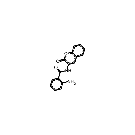 Nc1ccccc1C(=O)Nc1cc2ccccc2oc1=O